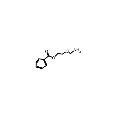 NCOCCOC(=O)c1ccccc1